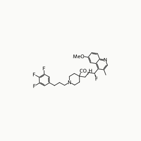 COc1ccc2ncc(C)c([C@@H](F)CCC3(C(=O)O)CCN(CCCc4cc(F)c(F)c(F)c4)CC3)c2c1